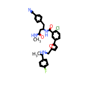 CNC(=O)CC(Cc1ccc(C#N)cc1)NC(=O)c1cc(-c2ccc(CNC(C)c3ccc(F)cc3)o2)ccc1Cl